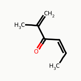 C=C(C)C(=O)/C=C\C